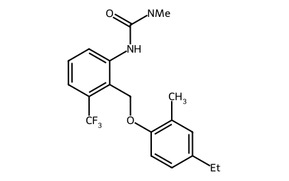 CCc1ccc(OCc2c(NC(=O)NC)cccc2C(F)(F)F)c(C)c1